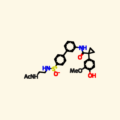 COc1cc(C2(C(=O)Nc3cccc(-c4ccc([S+]([O-])NCCNC(C)=O)cc4)c3)CC2)ccc1O